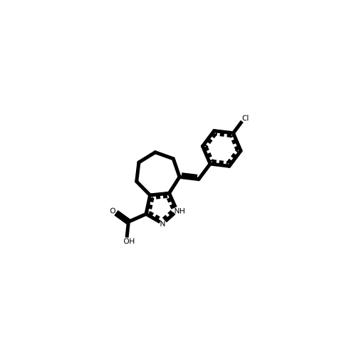 O=C(O)c1n[nH]c2c1CCCCC2=Cc1ccc(Cl)cc1